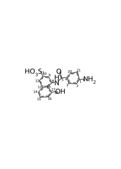 Nc1ccc(C(=O)Nc2cc(S(=O)(=O)O)cc3cccc(O)c23)cc1